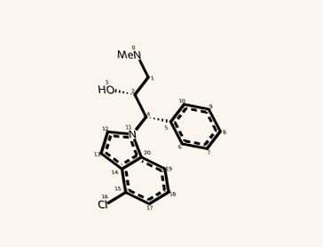 CNC[C@@H](O)[C@H](c1ccccc1)n1ccc2c(Cl)cccc21